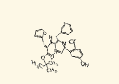 CC(C)(C)OC(=O)/C(=C/c1ccco1)Nc1ncc(-c2cc(O)ccc2Cl)nc1Cc1ccccc1